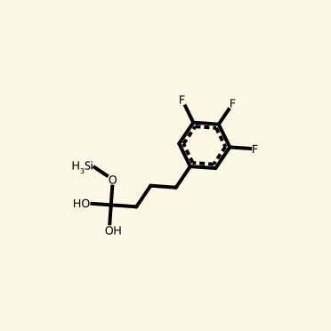 OC(O)(CCCc1cc(F)c(F)c(F)c1)O[SiH3]